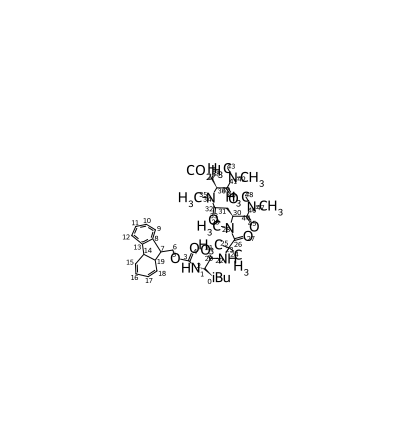 CC[C@H](C)[C@H](NC(=O)OCC1c2ccccc2C2C=CC=CC21)C(=O)NC(C)(C)C(=O)N(C)[C@@H](CC(=O)N(C)[C@@H](CC(=O)O)C(=O)N(C)C)C(=O)N(C)C